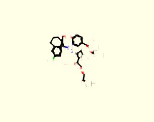 C=CCOC[C@@H](O)[C@@H]1CC[C@H]1CN1CC2(CCCc3cc(Cl)ccc32)COc2ccc(C(=O)OC(C)(C)C)cc21